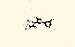 CC(C)C(=O)N(C)c1cn(-c2cncc(Cl)c2)nc1Cl